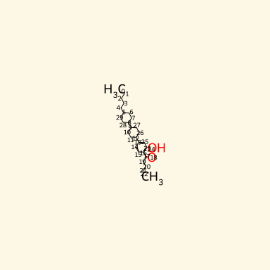 CCCCCC1CCC(C2CCC(c3ccc(C(=O)CCCC)c(O)c3)CC2)CC1